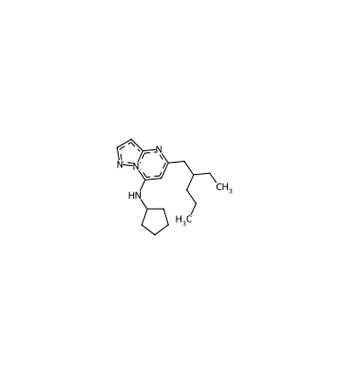 CCCC(CC)Cc1cc(NC2CCCC2)n2nccc2n1